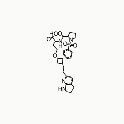 O=C(N[C@@H](CCO[C@H]1C[C@H](CCc2ccc3c(n2)NCCC3)C1)C(=O)O)C1CCCN1S(=O)(=O)c1ccccc1